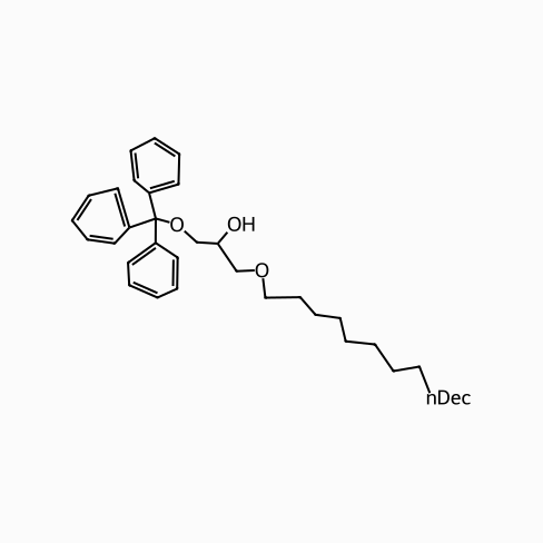 CCCCCCCCCCCCCCCCCCOCC(O)COC(c1ccccc1)(c1ccccc1)c1ccccc1